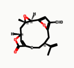 C=C(C)[C@H]1CCC2=C[C@@H](C[C@]3(C)O[C@H]3c3cc(C=O)c(o3)C1)OC2=O